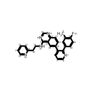 Cc1cc(-c2ncccc2-c2ccc3ncnc(NCCc4ccccn4)c3c2)ccc1F